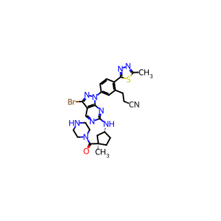 Cc1nnc(-c2ccc(-n3nc(Br)c4cnc(N[C@@H]5CC[C@@](C)(C(=O)N6CCNCC6)C5)nc43)cc2CCC#N)s1